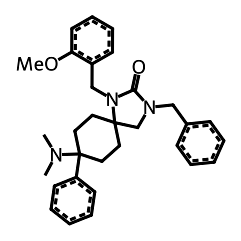 COc1ccccc1CN1C(=O)N(Cc2ccccc2)CC12CCC(c1ccccc1)(N(C)C)CC2